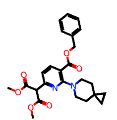 COC(=O)C(C(=O)OC)c1ccc(C(=O)OCc2ccccc2)c(N2CCC3(CC2)CC3)n1